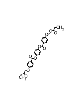 C=CC(=O)COc1ccc(C(=O)Oc2ccc(OC(=O)c3ccc(OCOC(=O)C=C)cc3)cc2)cc1